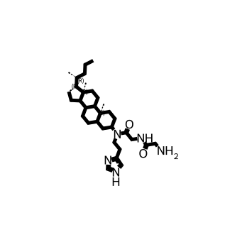 CCC[C@@H](C)[C@H]1CCC2C3CCC4CC(N(CCc5c[nH]cn5)C(=O)CNC(=O)CN)CC[C@]4(C)C3CC[C@@]21C